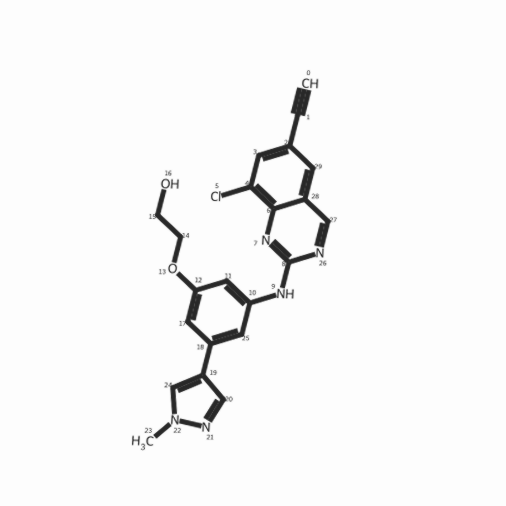 C#Cc1cc(Cl)c2nc(Nc3cc(OCCO)cc(-c4cnn(C)c4)c3)ncc2c1